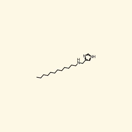 CCCCCCCCCCCCNCc1c[nH]cn1